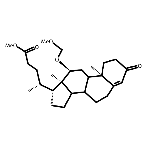 COCO[C@H]1CC2C(CCC3=CC(=O)CC[C@@]32C)C2CC[C@H]([C@H](C)CCC(=O)OC)[C@]21C